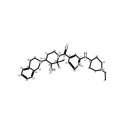 CCN1CCC(Nc2cc(C(=O)N3CCC(N4CCc5ccccc5C4)C(O)C3(C)C)ccn2)CC1